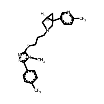 Cn1c(SCCCN2C[C@H]3CC3(c3ccc(C(F)(F)F)nc3)C2)nnc1-c1ccc(C(F)(F)F)cc1